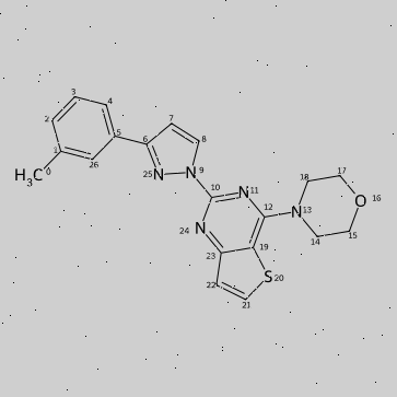 Cc1cccc(-c2ccn(-c3nc(N4CCOCC4)c4sccc4n3)n2)c1